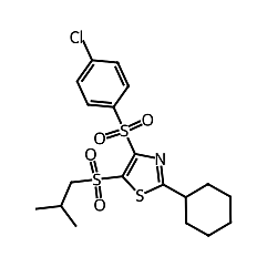 CC(C)CS(=O)(=O)c1sc(C2CCCCC2)nc1S(=O)(=O)c1ccc(Cl)cc1